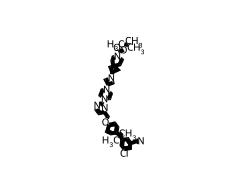 CC(C)(C)OC(=O)N1CCC2(CC1)CC(N1CC(N3CCN(c4nccc(COc5ccc(C(C)(C)c6cc(Cl)cc(C#N)c6)cc5)n4)CC3)C1)C2